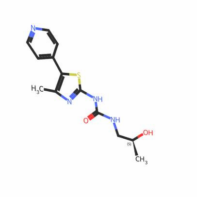 Cc1nc(NC(=O)NC[C@H](C)O)sc1-c1ccncc1